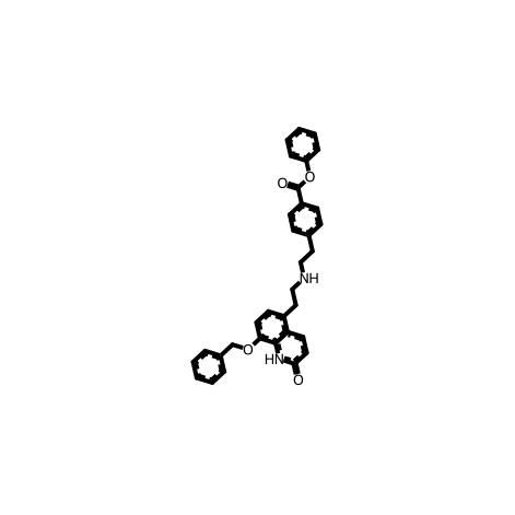 O=C(Oc1ccccc1)c1ccc(CCNCCc2ccc(OCc3ccccc3)c3[nH]c(=O)ccc23)cc1